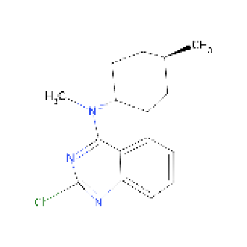 CN(c1nc(Cl)nc2ccccc12)[C@H]1CC[C@H](C)CC1